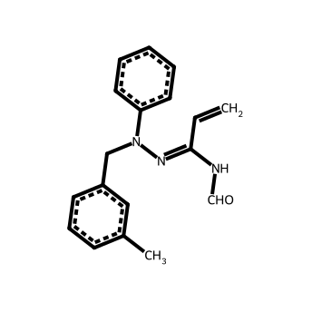 C=C/C(=N\N(Cc1cccc(C)c1)c1ccccc1)NC=O